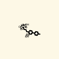 Cc1ccc(-c2ccc(CCCC(P(=O)(O)O)S(=O)(=O)O)cc2)cc1.[KH].[KH].[KH]